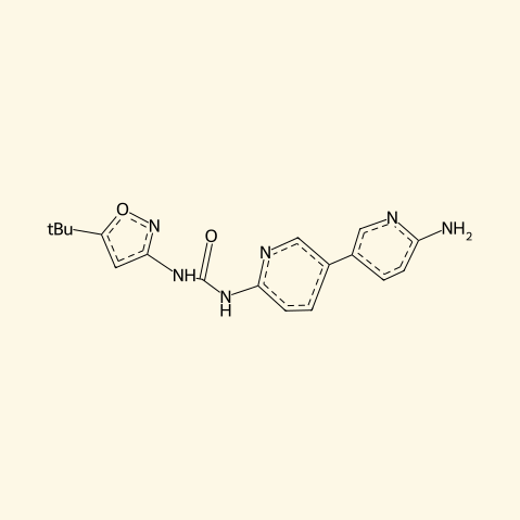 CC(C)(C)c1cc(NC(=O)Nc2ccc(-c3ccc(N)nc3)cn2)no1